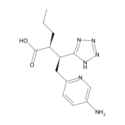 CCC[C@H](C(=O)O)[C@H](Cc1ccc(N)cn1)c1nnn[nH]1